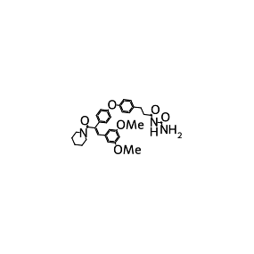 COc1cc(/C=C(/C(=O)N2CCCCC2)c2ccc(Oc3ccc(CCC(=O)NC(N)=O)cc3)cc2)cc(OC)c1